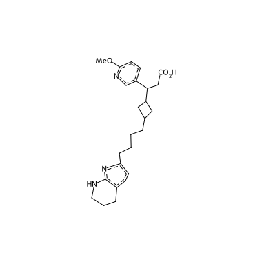 COc1ccc(C(CC(=O)O)C2CC(CCCCc3ccc4c(n3)NCCC4)C2)cn1